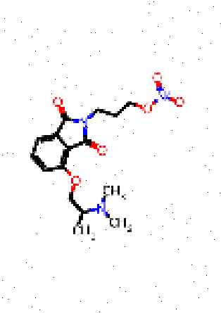 CC(COc1cccc2c1C(=O)N(CCCO[N+](=O)[O-])C2=O)N(C)C